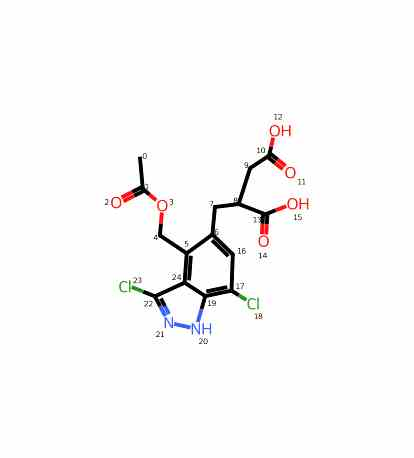 CC(=O)OCc1c(CC(CC(=O)O)C(=O)O)cc(Cl)c2[nH]nc(Cl)c12